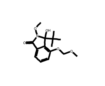 COCOc1cccc2c1C(O)(C(C)(C)C)N(OC)C2=O